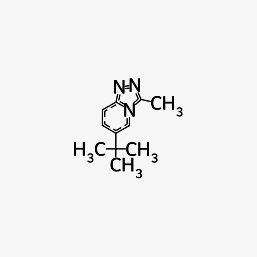 Cc1nnc2ccc(C(C)(C)C)cn12